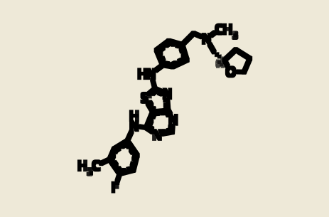 Cc1cc(Nc2ncnc3nc(Nc4ccc(CN(C)C[C@@H]5CCCO5)cc4)sc23)ccc1F